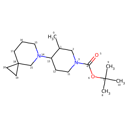 CC1CN(C(=O)OC(C)(C)C)CCC1N1CCCC2(CC2)C1